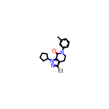 CCc1nn(C2CCCC2)c2c1CCN(c1cccc(C)c1)C2=O